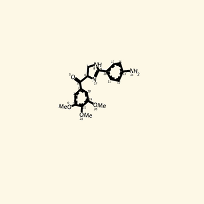 COc1cc(C(=O)C2CNC(c3ccc(N)cc3)=N2)cc(OC)c1OC